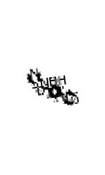 O=C(NC1C=NC=CS1)c1ccc(N2CCOCC2)cc1O